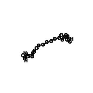 O=C1CC[C@@H](N2C(=O)c3cccc(OCCOCCOCCOCCOCCOc4ccc(N5CCN(C(=O)CSC6=N[C@@H]7CCCC[C@H]7N6)CC5)cc4)c3C2=O)C(=O)N1